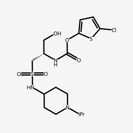 CC(C)N1CCC(NS(=O)(=O)C[C@H](CO)NC(=O)Oc2ccc(Cl)s2)CC1